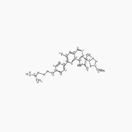 COC1CCC([N+]2(C)C(=O)Nc3c2cnc2cc(F)c(-c4ccc(OCCCN(C)C)nc4)cc32)C1